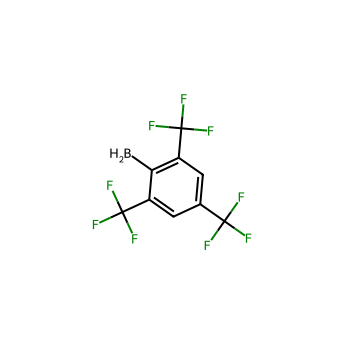 Bc1c(C(F)(F)F)cc(C(F)(F)F)cc1C(F)(F)F